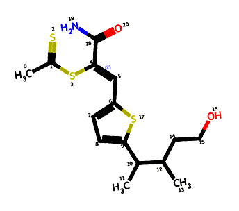 CC(=S)S/C(=C\c1ccc(C(C)C(C)CCO)s1)C(N)=O